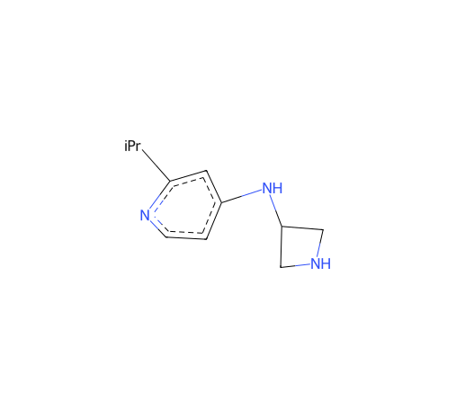 CC(C)c1cc(NC2CNC2)ccn1